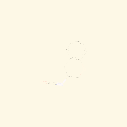 O=C=NC1COc2ccccc2C1